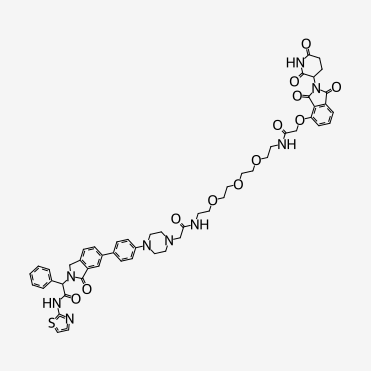 O=C(COc1cccc2c1C(=O)N(C1CCC(=O)NC1=O)C2=O)NCCOCCOCCOCCNC(=O)CN1CCN(c2ccc(-c3ccc4c(c3)C(=O)N(C(C(=O)Nc3nccs3)c3ccccc3)C4)cc2)CC1